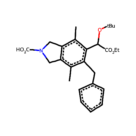 CCOC(=O)C(OC(C)(C)C)c1c(C)c2c(c(C)c1Cc1ccccc1)CN(C(=O)O)C2